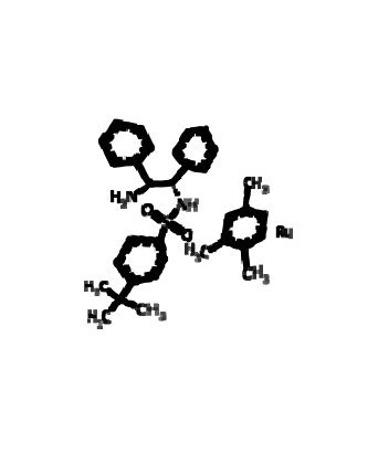 CC(C)(C)c1ccc(S(=O)(=O)N[C@@H](c2ccccc2)[C@@H](N)c2ccccc2)cc1.Cc1ccc(C)c(C)c1.[Ru]